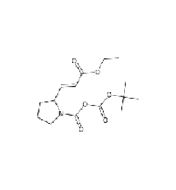 CCOC(=O)C=CC1CCCN1C(=O)OC(=O)OC(C)(C)C